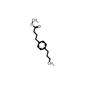 CCCCc1ccc(CCCC(=O)OC)cc1